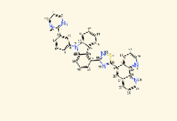 c1cnc(-c2cccc(-n3c4ccccc4c4c(-c5nsc(-c6cc7cccnc7c7ncccc67)n5)cccc43)c2)nc1